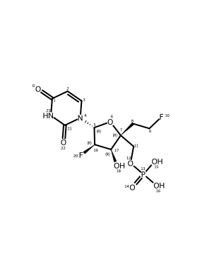 O=c1ccn([C@@H]2O[C@](CCF)(COP(=O)(O)O)[C@@H](O)[C@H]2F)c(=O)[nH]1